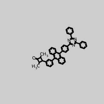 CC1C(=O)C(C)C1c1cccc(-c2c3ccccc3c(-c3ccc(-c4nc(-c5ccccc5)nc(-c5ccccc5)n4)cc3)c3ccccc23)c1